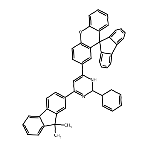 CC1(C)c2ccccc2-c2ccc(C3=NC(C4C=CC=CC4)NC(c4ccc5c(c4)C4(c6ccccc6O5)c5ccccc5-c5ccccc54)=C3)cc21